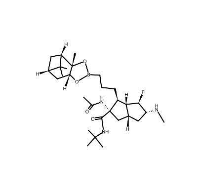 CN[C@@H]1C[C@@H]2C[C@@](NC(C)=O)(C(=O)NC(C)(C)C)[C@@H](CCCB3O[C@@H]4C[C@@H]5C[C@@H](C5(C)C)[C@]4(C)O3)[C@@H]2[C@H]1F